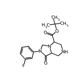 CC(C)(C)OC(=O)C1CNCC2C(=O)N(c3cccc(F)c3)CN12